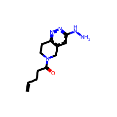 C=CCCC(=O)N1CCc2nnc(NN)cc2C1